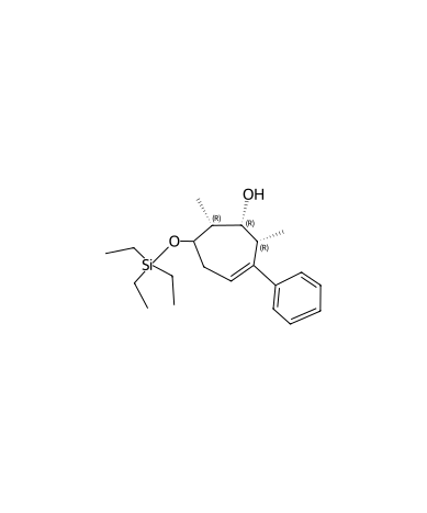 CC[Si](CC)(CC)OC1CC=C(c2ccccc2)[C@@H](C)[C@@H](O)[C@H]1C